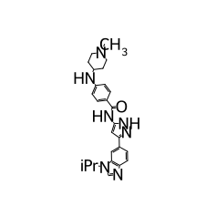 CC(C)n1cnc2ccc(-c3cc(NC(=O)c4ccc(NC5CCN(C)CC5)cc4)[nH]n3)cc21